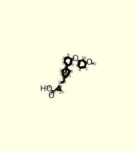 COc1cccc(Oc2cccc(C34CCC(CC[C@@H]5C[C@H]5C(=O)O)(CC3)CO4)c2)c1